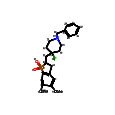 COc1cc2c(cc1OC)S(=O)(=O)C(CC1(F)CCN(Cc3ccccc3)CC1)C2